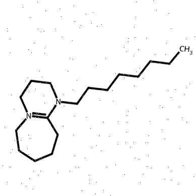 CCCCCCCCN1CCC[N+]2=C1CCCCC2